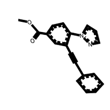 COC(=O)c1ccc(-n2cccn2)c(C#Cc2ccccc2)c1